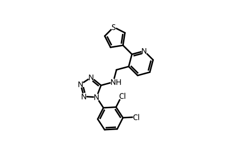 Clc1cccc(-n2nnnc2NCc2cccnc2-c2ccsc2)c1Cl